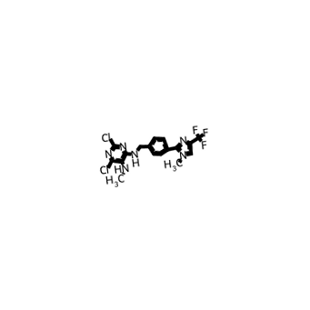 CNc1c(Cl)nc(Cl)nc1NCc1ccc(-c2nc(C(F)(F)F)cn2C)cc1